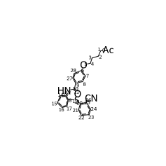 CC(=O)CCCCOc1ccc(C(=O)Nc2ccccc2Sc2ccccc2C#N)cc1